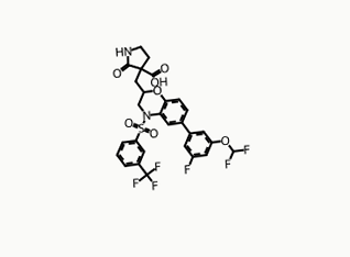 O=C(O)C1(CC2CN(S(=O)(=O)c3cccc(C(F)(F)F)c3)c3cc(-c4cc(F)cc(OC(F)F)c4)ccc3O2)CCNC1=O